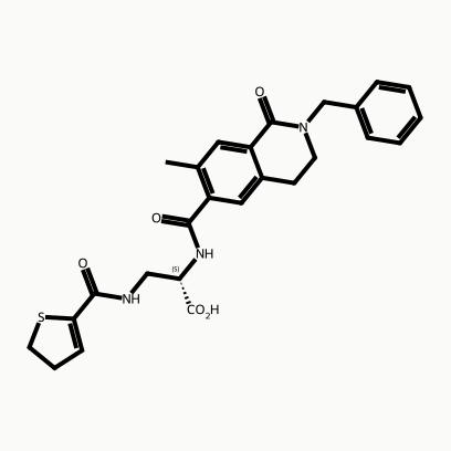 Cc1cc2c(cc1C(=O)N[C@@H](CNC(=O)C1=CCCS1)C(=O)O)CCN(Cc1ccccc1)C2=O